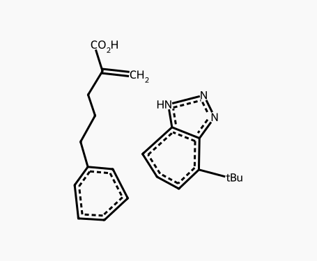 C=C(CCCc1ccccc1)C(=O)O.CC(C)(C)c1cccc2[nH]nnc12